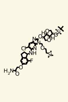 CC(C)(C)[Si](C)(C)O[C@@H]1CO[C@H]2[C@@H]1OC[C@H]2Oc1nc2cc(Cl)c(NC3CCc4cc(OCC(N)=O)cc(F)c43)nc2n1COCC[Si](C)(C)C